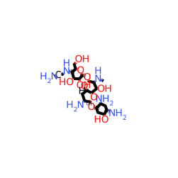 CNC1C(O[C@H]2OC(CO)[C@@H](NCCN)C(O)C2O)O[C@H]2CC(N)[C@@H](O[C@H]3CC(O)[C@H](N)CC3N)OC2C1O